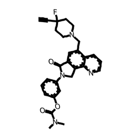 C#CC1(F)CCN(Cc2cc3c(c4ncccc24)CN(c2cccc(OC(=O)N(C)C)c2)C3=O)CC1